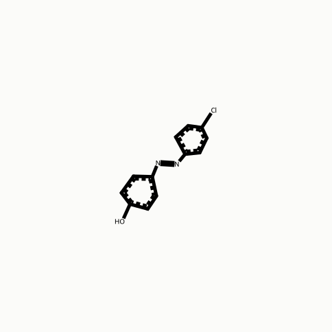 Oc1ccc(N=Nc2ccc(Cl)cc2)cc1